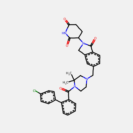 CC1(C)CN(Cc2ccc3c(c2)CN(C2CCC(=O)NC2=O)C3=O)CCN1C(=O)c1ccccc1-c1ccc(Cl)cc1